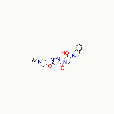 CC(=O)N1CCC(Oc2cc(C(=O)N3CC[C@@H](N4CCc5ccccc5C4)[C@H](O)C3)ncn2)CC1